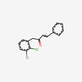 O=C(/C=C/c1ccccc1)Cc1cccc(Cl)c1Cl